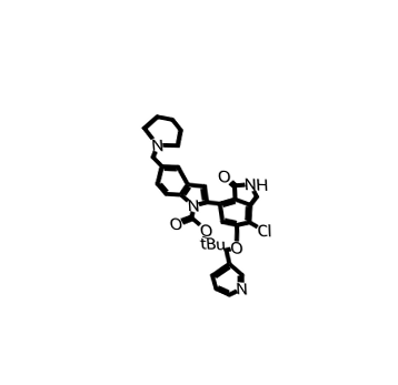 CC(C)(C)OC(=O)n1c(-c2cc(OCc3cccnc3)c(Cl)c3c2C(=O)NC3)cc2cc(CN3CCCCC3)ccc21